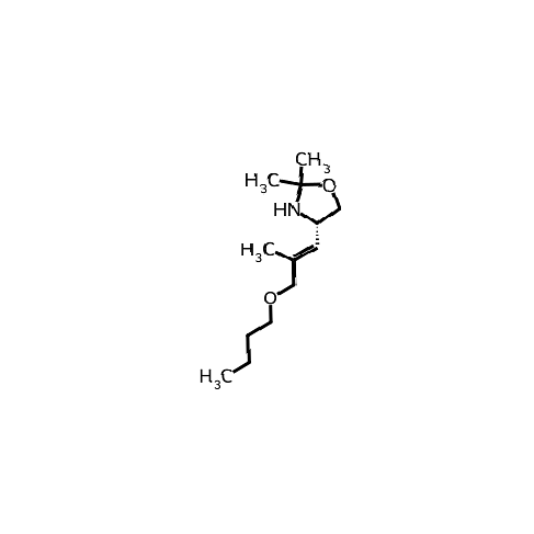 CCCCOC/C(C)=C/[C@H]1COC(C)(C)N1